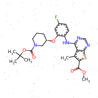 COC(=O)c1sc2ncnc(Nc3ccc(F)cc3O[C@@H]3CCCN(C(=O)OC(C)(C)C)C3)c2c1C